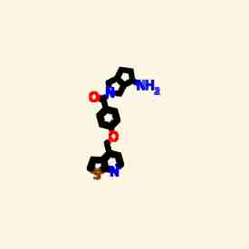 NC1CCC2CN(C(=O)c3ccc(OCc4ccnc5sccc45)cc3)CC12